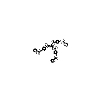 CCC(COC(=O)c1ccc(CSC(=S)C2=NCCC=C2)cc1)(COC(=O)c1ccc(CSC(=S)c2ccccn2)cc1)COC(=O)c1ccc(CSC(=S)c2ccccn2)cc1